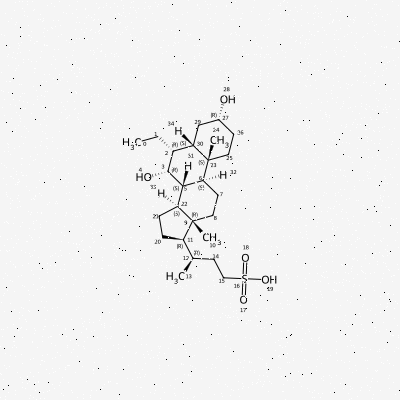 CC[C@H]1[C@@H](O)[C@@H]2[C@H](CC[C@]3(C)[C@@H]([C@H](C)CCS(=O)(=O)O)CC[C@@H]23)[C@@]2(C)CC[C@@H](O)C[C@@H]12